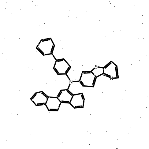 c1ccc(-c2ccc(N(c3ccc4c(c3)sc3cccnc34)c3cc4c5ccccc5ccc4c4ccccc34)cc2)cc1